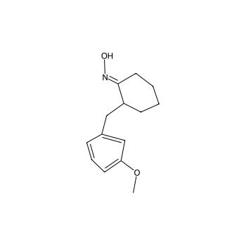 COc1cccc(CC2CCCC/C2=N\O)c1